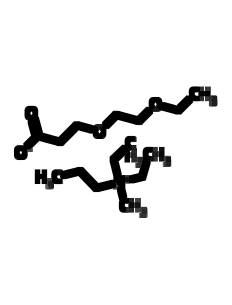 CCC[N+](C)(CC)CC.CCOCCOCCC(=O)[O-]